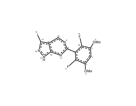 COc1cc(OC)c(F)c(-c2ncc3c(I)n[nH]c3n2)c1F